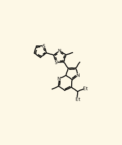 CCC(CC)C1=CC(C)=NC2C1=NC(C)=C2c1sc(-c2cccs2)nc1C